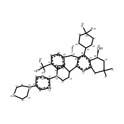 CC1(C)Cc2nc(C3CCN(c4ncc(N5CCSCC5)cn4)CC3)c([C@@H](F)c3ccc(C(F)(F)F)cc3)c(C3CCC(F)(F)CC3)c2[C@@H](O)C1